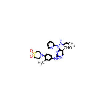 C=CCNN(c1ccccn1)c1nc(Nc2ccc(N3CCS(=O)(=O)CC3)c(C)c2)ncc1C=O